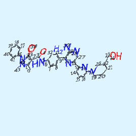 Cc1c(C(=O)Nc2ccc(-c3nc(-c4cccc(N5CCCC(CO)C5)n4)cnc3N)cc2)c(=O)n(-c2ccccc2)n1C